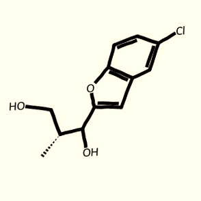 C[C@H](CO)C(O)c1cc2cc(Cl)ccc2o1